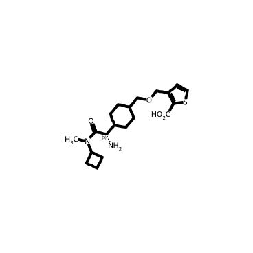 CN(C(=O)[C@@H](N)C1CCC(COCc2ccsc2C(=O)O)CC1)C1CCC1